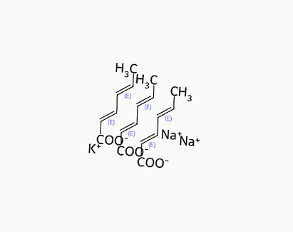 C/C=C/C=C/C(=O)[O-].C/C=C/C=C/C(=O)[O-].C/C=C/C=C/C(=O)[O-].[K+].[Na+].[Na+]